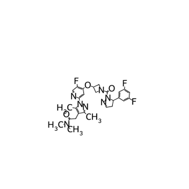 Cc1nn(-c2cc(OC3CN(C(=O)N4N=CCC4c4cc(F)cc(F)c4)C3)c(F)cn2)c(C)c1CC(=O)N(C)C